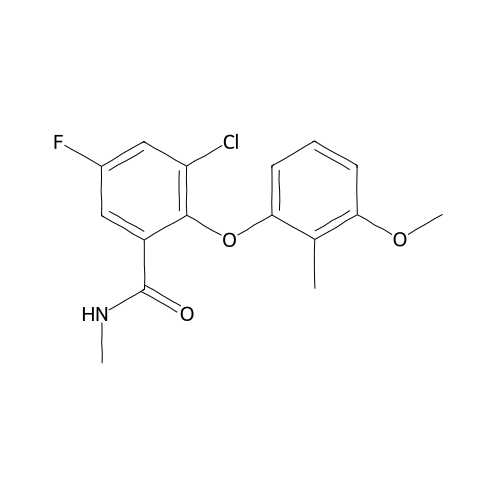 CNC(=O)c1cc(F)cc(Cl)c1Oc1cccc(OC)c1C